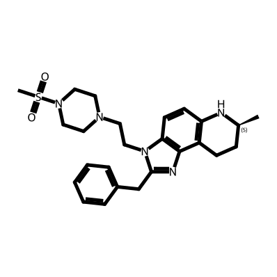 C[C@H]1CCc2c(ccc3c2nc(Cc2ccccc2)n3CCN2CCN(S(C)(=O)=O)CC2)N1